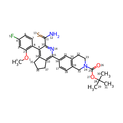 COc1cc(F)ccc1-c1c(C(N)=S)nc(-c2ccc3c(c2)CCN(C(=O)OC(C)(C)C)C3)c2c1CCC2